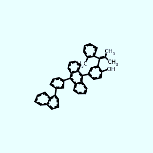 CC(C)=C(c1ccccc1C)c1cc(-c2c3ccccc3c(-c3cccc(-c4cccc5ccccc45)c3)c3ccccc23)ccc1O